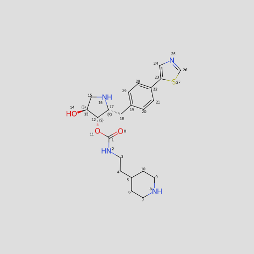 O=C(NCCC1CCNCC1)O[C@@H]1[C@@H](O)CN[C@@H]1Cc1ccc(-c2cncs2)cc1